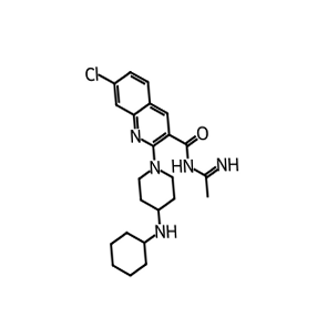 CC(=N)NC(=O)c1cc2ccc(Cl)cc2nc1N1CCC(NC2CCCCC2)CC1